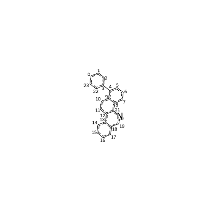 c1ccc(-c2cccc3c2ccc2c4ccccc4cnc32)cc1